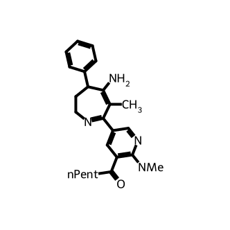 CCCCCC(=O)c1cc(C2=NCCC(c3ccccc3)C(N)=C2C)cnc1NC